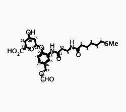 CSCCCCCC(=O)NCCC(=O)Nc1cc(COC=O)ccc1OC1CC(O)CC(C(=O)O)O1